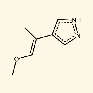 COC=C(C)c1cn[nH]c1